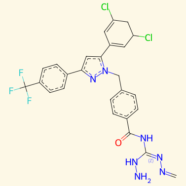 C=N/N=C(\NN)NC(=O)c1ccc(Cn2nc(-c3ccc(C(F)(F)F)cc3)cc2C2=CC(Cl)CC(Cl)=C2)cc1